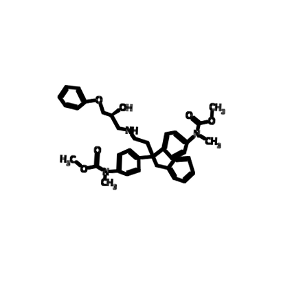 COC(=O)N(C)c1ccc(C(CCNC[C@H](O)COc2ccccc2)(Cc2ccccc2)c2ccc(N(C)C(=O)OC)cc2)cc1